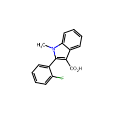 Cn1c(-c2ccccc2F)c(C(=O)O)c2ccccc21